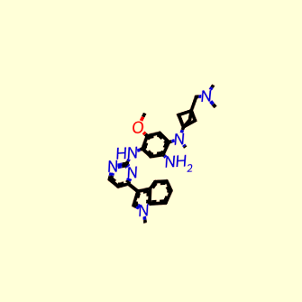 COc1cc(N(C)C23CC(CN(C)C)(C2)C3)c(N)cc1Nc1nccc(-c2cn(C)c3ccccc23)n1